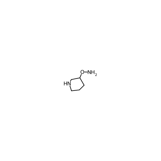 NOC1CCCNC1